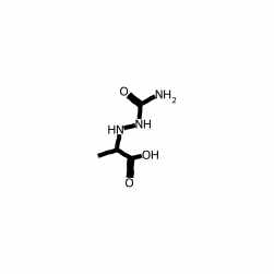 CC(NNC(N)=O)C(=O)O